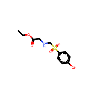 CCOC(=O)CNCS(=O)(=O)c1ccc(O)cc1